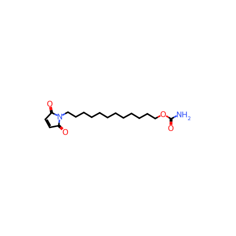 NC(=O)OCCCCCCCCCCCCN1C(=O)C=CC1=O